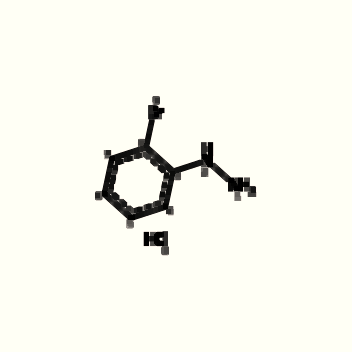 Cl.NNc1ccccc1Br